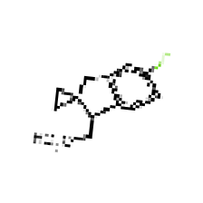 O=C(O)CC1c2ccc(F)cc2CC12CC2